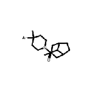 CC(=O)C1(C)CCN(C(=O)C2C3CCC2CN(C)C3)CC1